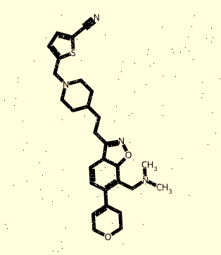 CN(C)CC1=C(C2=CCOCC2)C=CC2C(CCC3CCN(Cc4ccc(C#N)s4)CC3)=NOC12